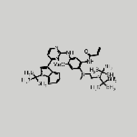 BC(B)(B)N(CCN(C)c1cc(OC)c(Nc2nccc(-c3cn(C(B)(B)B)c4ccccc34)n2)cc1NC(=O)C=C)C(B)(B)B